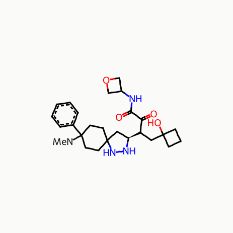 CNC1(c2ccccc2)CCC2(CC1)C[C@@H](C(CC1(O)CCC1)C(=O)C(=O)NC1COC1)NN2